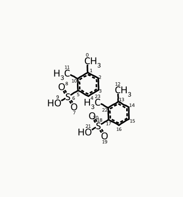 Cc1cccc(S(=O)(=O)O)c1C.Cc1cccc(S(=O)(=O)O)c1C